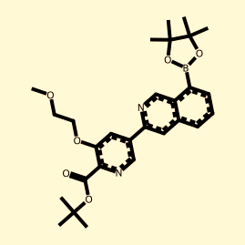 COCCOc1cc(-c2cc3cccc(B4OC(C)(C)C(C)(C)O4)c3cn2)cnc1C(=O)OC(C)(C)C